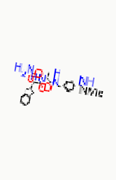 CNC(=N)c1ccc(CNC(=O)C(C)NC(=O)C(OC(N)=O)C2Cc3ccccc3C2)cc1